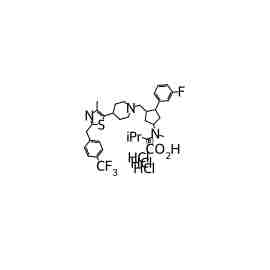 Cc1nc(Cc2ccc(C(F)(F)F)cc2)sc1C1CCN(CC2CC(N(C)[C@@H](C(=O)O)C(C)C)CC2c2cccc(F)c2)CC1.Cl.Cl.Cl